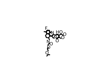 Cc1c(F)cc2nc3c(c4c2c1CCC4/C=N/C(=O)COCCOC(C)C)Cn1c-3cc2c(c1=O)COC(=O)[C@H]2O